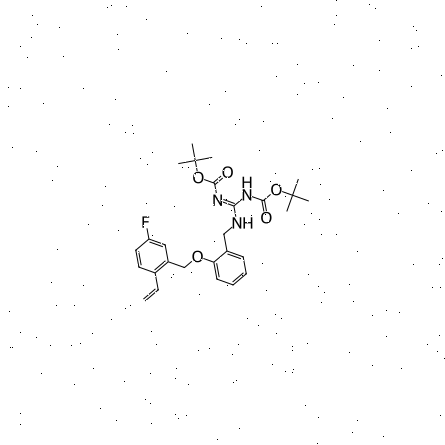 C=Cc1ccc(F)cc1COc1ccccc1CNC(=NC(=O)OC(C)(C)C)NC(=O)OC(C)(C)C